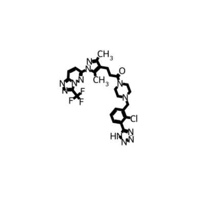 Cc1nn(-c2ccc3nnc(C(F)(F)F)n3n2)c(C)c1CCC(=O)N1CCN(Cc2cccc(-c3nnn[nH]3)c2Cl)CC1